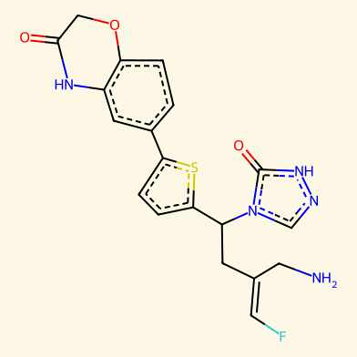 NC/C(=C\F)CC(c1ccc(-c2ccc3c(c2)NC(=O)CO3)s1)n1cn[nH]c1=O